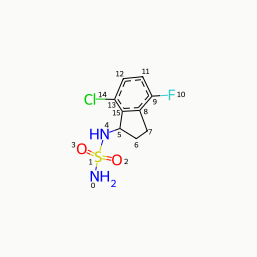 NS(=O)(=O)NC1CCc2c(F)ccc(Cl)c21